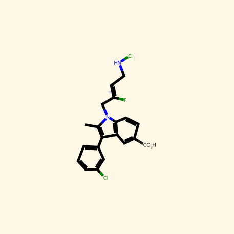 Cc1c(-c2cccc(Cl)c2)c2cc(C(=O)O)ccc2n1C/C(F)=C/CNCl